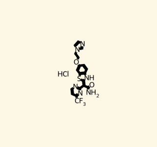 Cl.NC(=O)/C(=C1\Nc2ccc(OCCn3ccnc3)cc2S1)c1nccc(C(F)(F)F)n1